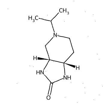 CC(C)N1CC[C@@H]2NC(=O)N[C@@H]2C1